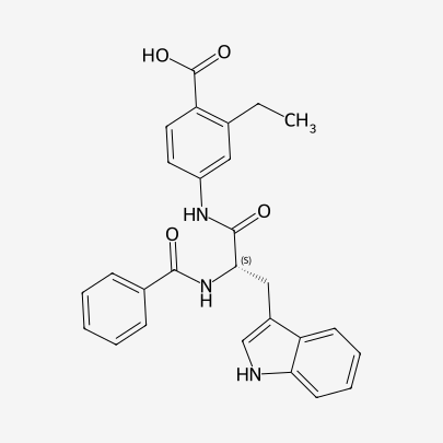 CCc1cc(NC(=O)[C@H](Cc2c[nH]c3ccccc23)NC(=O)c2ccccc2)ccc1C(=O)O